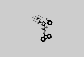 CC(C)(C)OC(=O)N1CC(NC(=O)OCC2c3ccccc3-c3ccccc32)[C@@H](c2ccccc2F)C1